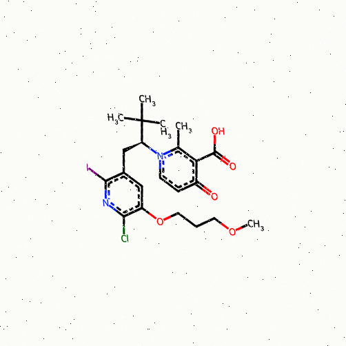 COCCCOc1cc(C[C@H](n2ccc(=O)c(C(=O)O)c2C)C(C)(C)C)c(I)nc1Cl